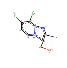 OCc1c(I)nc2c(Br)c(F)ccn12